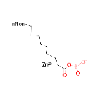 CCCCCCCCCCCCCCCCCC(=O)OB([O-])[O-].[Zn+2]